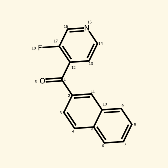 O=C(c1ccc2ccccc2c1)c1ccncc1F